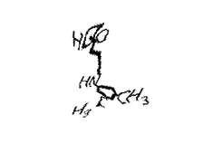 Cc1cc(C)cc(NCCCCC(=O)O)c1